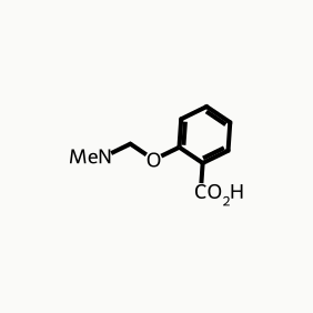 CNCOc1ccccc1C(=O)O